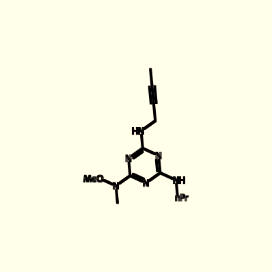 CC#CCNc1nc(NCCC)nc(N(C)OC)n1